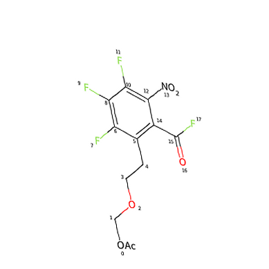 CC(=O)OCOCCc1c(F)c(F)c(F)c([N+](=O)[O-])c1C(=O)F